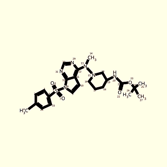 Cc1ccc(S(=O)(=O)n2ccc3c(N(C)N4CCCC(NC(=O)OC(C)(C)C)C4)ncnc32)cc1